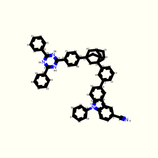 N#Cc1ccc2c(c1)c1cc(-c3cccc(C45CC6CC4CC(c4ccc(-c7nc(-c8ccccc8)nc(-c8ccccc8)n7)cc4)(C6)C5)c3)ccc1n2-c1ccccc1